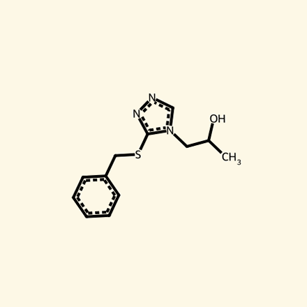 CC(O)Cn1cnnc1SCc1ccccc1